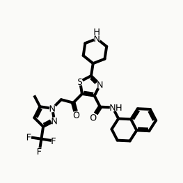 Cc1cc(C(F)(F)F)nn1CC(=O)c1sc(C2CCNCC2)nc1C(=O)NC1CCCc2ccccc21